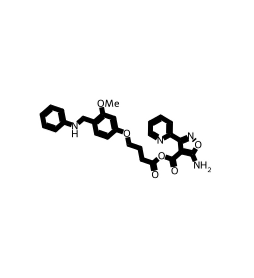 COc1cc(OCCCC(=O)OC(=O)c2c(-c3ccccn3)noc2N)ccc1CNc1ccccc1